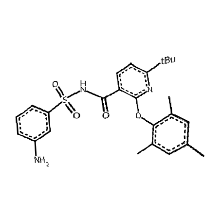 Cc1cc(C)c(Oc2nc(C(C)(C)C)ccc2C(=O)NS(=O)(=O)c2cccc(N)c2)c(C)c1